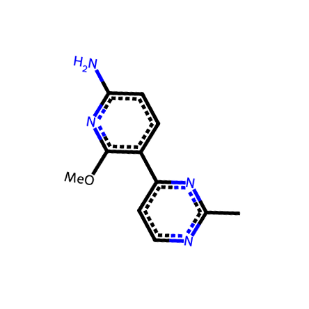 COc1nc(N)ccc1-c1ccnc(C)n1